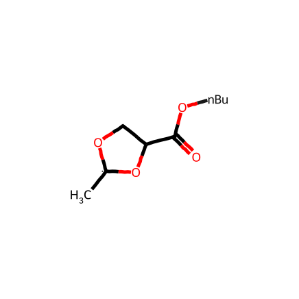 CCCCOC(=O)C1CO[C](C)O1